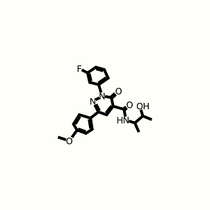 COc1ccc(-c2cc(C(=O)NC(C)C(C)O)c(=O)n(-c3cccc(F)c3)n2)cc1